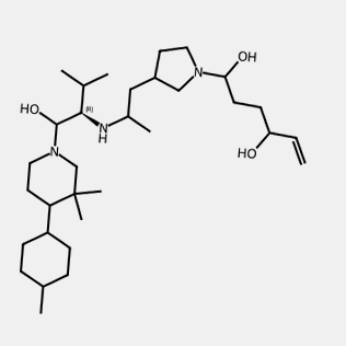 C=CC(O)CCC(O)N1CCC(CC(C)N[C@H](C(C)C)C(O)N2CCC(C3CCC(C)CC3)C(C)(C)C2)C1